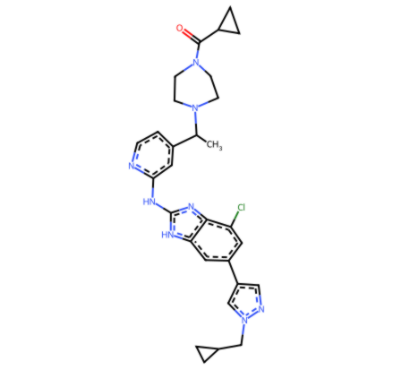 CC(c1ccnc(Nc2nc3c(Cl)cc(-c4cnn(CC5CC5)c4)cc3[nH]2)c1)N1CCN(C(=O)C2CC2)CC1